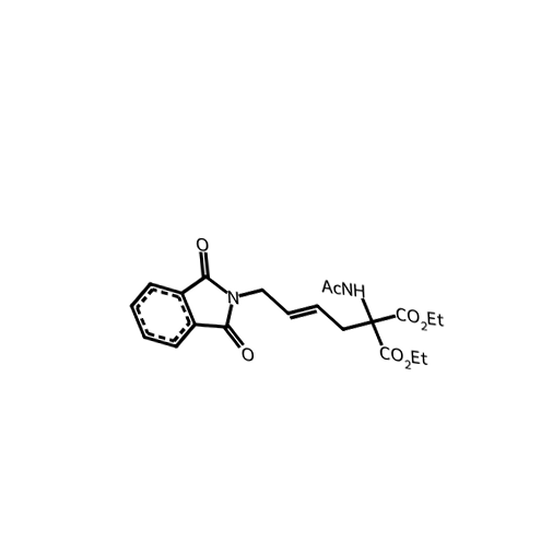 CCOC(=O)C(CC=CCN1C(=O)c2ccccc2C1=O)(NC(C)=O)C(=O)OCC